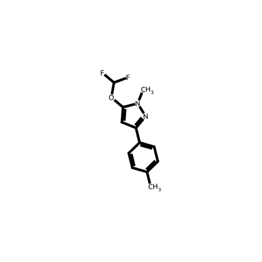 Cc1ccc(-c2cc(OC(F)F)n(C)n2)cc1